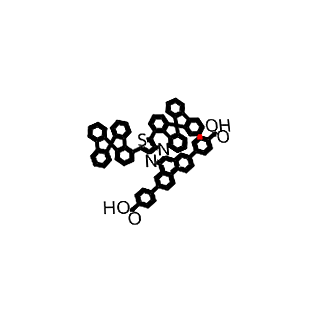 O=C(O)c1ccc(-c2ccc3c4ccc(-c5ccc(C(=O)O)cc5)cc4c4nc5c(-c6cccc7c6-c6ccccc6C76c7ccccc7-c7ccccc76)sc(-c6cccc7c6-c6ccccc6C76c7ccccc7-c7ccccc76)c5nc4c3c2)cc1